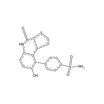 NS(=O)(=O)c1ccc(-c2c(O)ccc3[nH]c(=O)c4sccc4c23)cc1